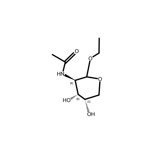 CCOC1OC[C@H](O)[C@H](O)[C@H]1NC(C)=O